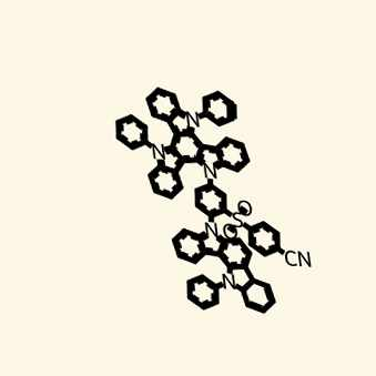 N#Cc1ccc(S(=O)(=O)c2cc(-n3c4ccccc4c4c5c(c6ccccc6n5-c5cc#ccc5)c5c(c6ccccc6n5-c5ccccc5)c43)ccc2-n2c3ccccc3c3c4c(ccc32)C2C=CC=CC2N4c2ccccc2)cc1